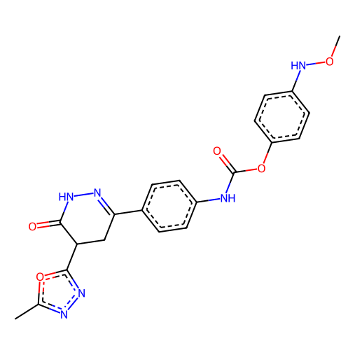 CONc1ccc(OC(=O)Nc2ccc(C3=NNC(=O)C(c4nnc(C)o4)C3)cc2)cc1